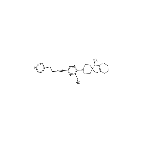 CC(C)(C)C1C2=C(CCCC2)CC12CCN(c1ncc(C#CCCc3ccncc3)nc1CN=O)CC2